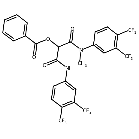 CN(C(=O)C(OC(=O)c1ccccc1)C(=O)Nc1ccc(C(F)(F)F)c(C(F)(F)F)c1)c1ccc(C(F)(F)F)c(C(F)(F)F)c1